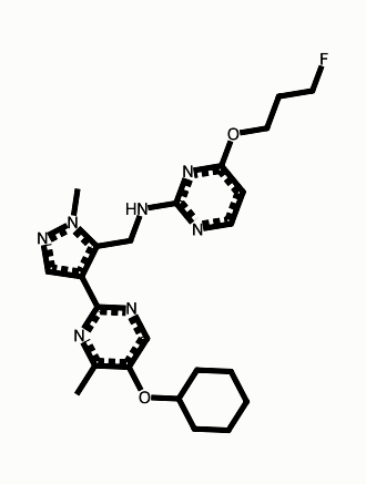 Cc1nc(-c2cnn(C)c2CNc2nccc(OCCCF)n2)ncc1OC1CCCCC1